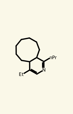 CCCC1=NC=C(CC)C2CCCCCCCC12